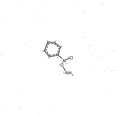 [AlH2][O][Al]([Cl])[c]1ccccc1